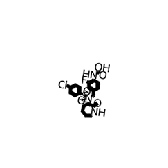 O=C(O)Nc1ccc(CN([C@@H]2CCCCNC2=O)S(=O)(=O)c2ccc(Cl)cc2)cc1F